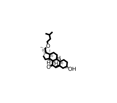 CC(C)CCO[C@@H](C)[C@H]1CC[C@H]2[C@@H]3C(=O)C=C4C[C@@H](O)CC[C@]4(C)[C@H]3CC[C@]12C